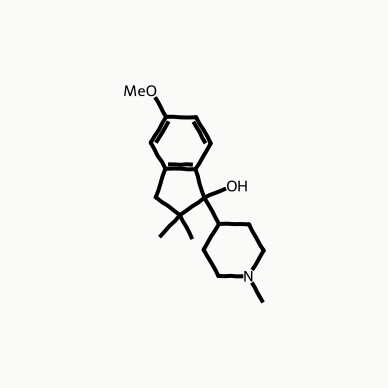 COc1ccc2c(c1)CC(C)(C)C2(O)C1CCN(C)CC1